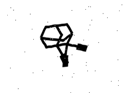 C#CC12CC3CC(CC(C3)C1(C#C)C#C)C2